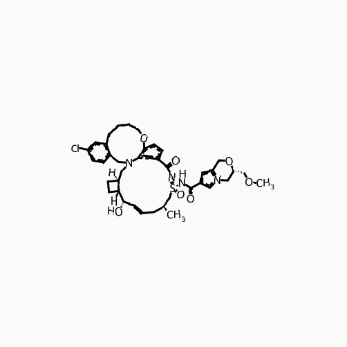 COC[C@@H]1Cn2cc(C(=O)N[S@@]3(=O)=NC(=O)c4ccc5c(c4)N(Cc4ccc(Cl)cc4CCCCO5)C[C@@H]4CC[C@H]4[C@@H](O)/C=C/C[C@H](C)C3)cc2CO1